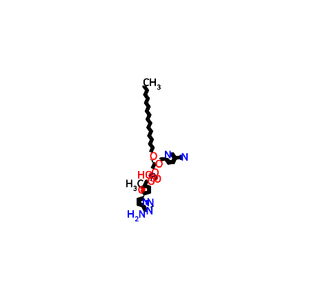 CCCCCCCCCCCCCCCCCCOC[C@@H](COP(=O)(O)OC[C@]1(C)CC[C@H](c2ccc3c(N)ncnn23)O1)OCc1ccc(C#N)cn1